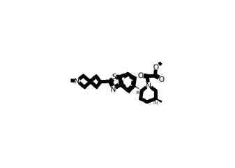 COC(=O)C(=O)N1C[C@@H](C)CC[C@@H]1c1ccc2sc(C3CC4(C3)CN(C)C4)nc2c1